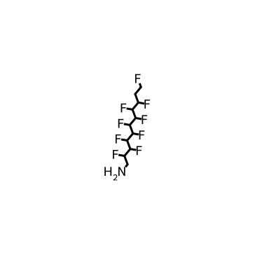 NCC(F)C(F)C(F)C(F)C(F)C(F)C(F)C(F)CCF